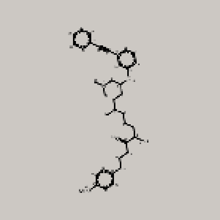 CCCCC(CCCC(C)CC[C@@H](CN(C)C)Oc1cccc(C#Cc2ccccc2)c1)C(=O)CCCc1ccc(OC)cc1